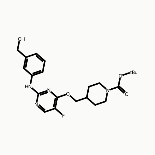 CC(C)(C)OC(=O)N1CCC(COc2nc(Nc3cccc(CO)c3)ncc2F)CC1